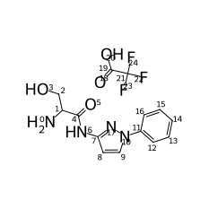 NC(CO)C(=O)Nc1ccn(-c2ccccc2)n1.O=C(O)C(F)(F)F